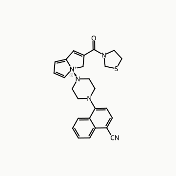 N#Cc1ccc(N2CCN([N@@+]34C=CC=C3C=C(C(=O)N3CCSC3)C4)CC2)c2ccccc12